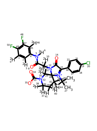 [2H]c1c([2H])c(N([2H])C(=O)C([2H])([2H])N2C(=O)C(c3ccc(Cl)cc3)=[N+](C(C)(C)C)C23C([2H])([2H])N(C(=O)[O-])C([2H])([2H])C([2H])([2H])C3([2H])[2H])c([2H])c(F)c1F